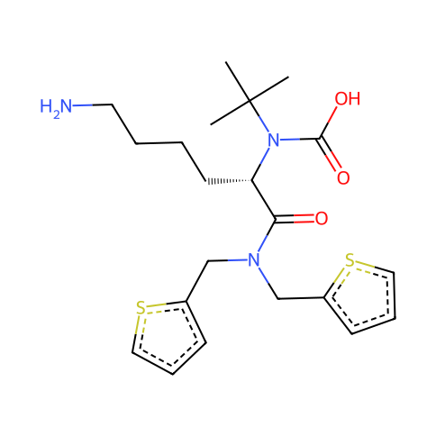 CC(C)(C)N(C(=O)O)[C@@H](CCCCN)C(=O)N(Cc1cccs1)Cc1cccs1